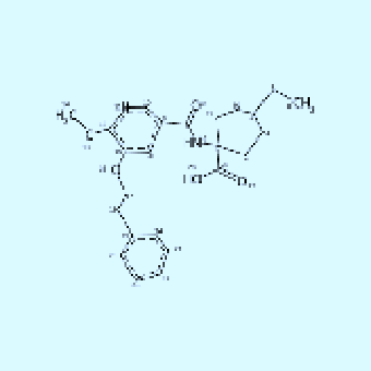 CCC1CCC(NC(=O)c2cnc(OC)c(OCCc3ccccc3)c2)(C(=O)O)CC1